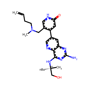 C=CCCN(C)Cc1c[nH]c(=O)cc1-c1cnc2c(N[C@@](C)(CO)CCCC)nc(N)nc2c1